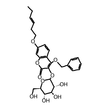 CCC=CCCOc1ccc2c(OCc3ccccc3)c(O[C@@H]3O[C@H](CO)[C@@H](O)[C@H](O)[C@H]3O)c(=O)oc2c1